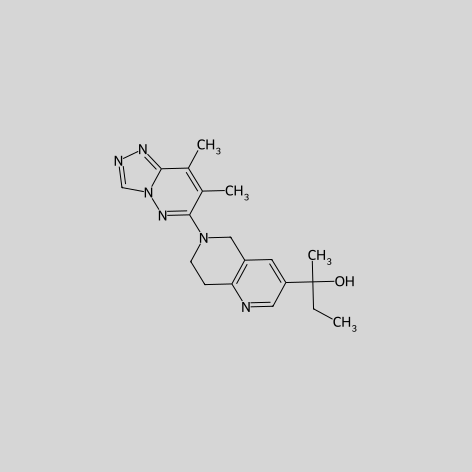 CCC(C)(O)c1cnc2c(c1)CN(c1nn3cnnc3c(C)c1C)CC2